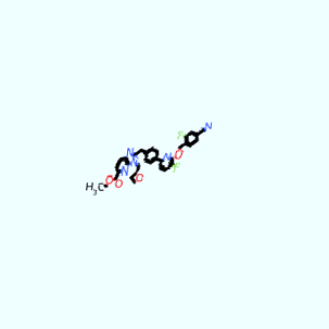 CCOC(=O)c1ccc2nc(CC3CC=C(c4ccc(F)c(OCc5ccc(C#N)cc5F)n4)CC3)n(CC3CCO3)c2n1